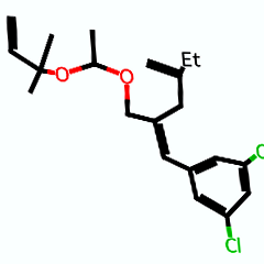 C=CC(C)(C)OC(C)OC/C(=C/c1cc(Cl)cc(Cl)c1)CC(=C)CC